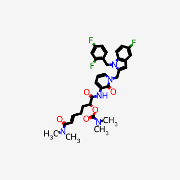 CN(C)C(=O)C=CCCC(OC(=O)N(C)C)C(=O)Nc1cccn(Cc2cc3cc(F)ccc3n2Cc2ccc(F)cc2F)c1=O